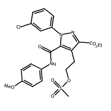 CCOC(=O)c1nn(-c2cccc(Cl)c2)c(C(=O)Nc2ccc(OC)cc2)c1CCOS(C)(=O)=O